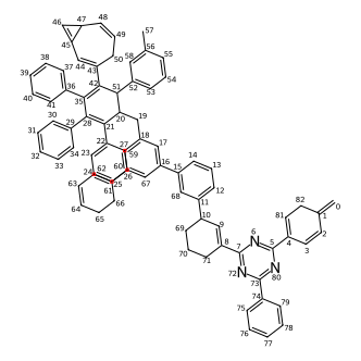 C=C1C=CC(c2nc(C3=CC(c4cccc(-c5cc(CC6C(c7ccccc7)=C(c7ccccc7)C(c7ccccc7)=C(C7=CC8=CC8C=CC7)C6c6cccc(C)c6)cc(C6=CC=CCC6)c5)c4)CCC3)nc(-c3ccccc3)n2)=CC1